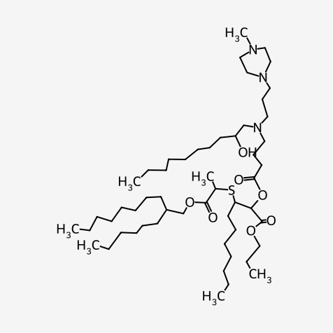 CCCCCCCCC(O)CN(CCCC(=O)OC(C(=O)OCCC)C(CCCCCCC)SC(C)C(=O)OCC(CCCCCC)CCCCCCCC)CCCN1CCN(C)CC1